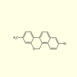 CCc1ccc2c3c(ccc2c1)-c1ccc(C)cc1OC3